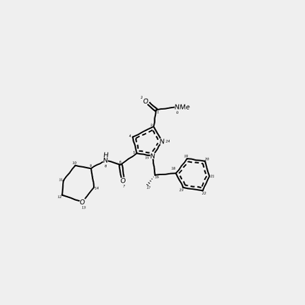 CNC(=O)c1cc(C(=O)NC2CCCOC2)n([C@@H](C)c2ccccc2)n1